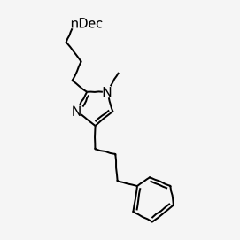 CCCCCCCCCCCCCc1nc(CCCc2ccccc2)cn1C